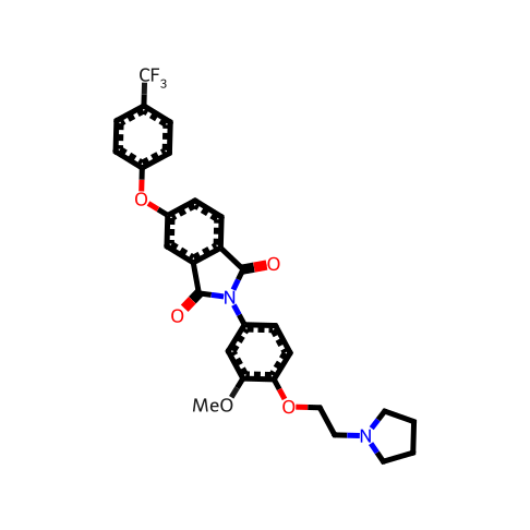 COc1cc(N2C(=O)c3ccc(Oc4ccc(C(F)(F)F)cc4)cc3C2=O)ccc1OCCN1CCCC1